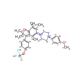 COc1ccc(N2CCN(c3c(C)c(C)c4c(c3C)C(c3ccc(OC(F)(F)F)cc3)C(C)(C)O4)CC2)cc1